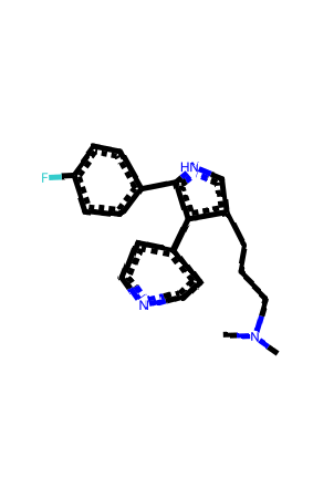 CN(C)CCCc1c[nH]c(-c2ccc(F)cc2)c1-c1ccncc1